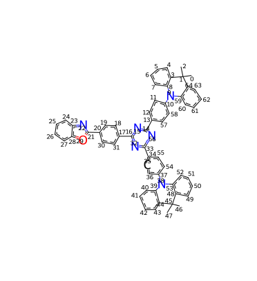 CC1(C)c2ccccc2N(c2ccc(-c3nc(-c4ccc(-c5nc6ccccc6o5)cc4)nc(-c4ccc(N5c6ccccc6C(C)(C)c6ccccc65)cc4)n3)cc2)c2ccccc21